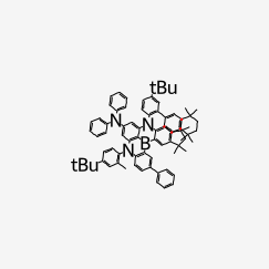 Cc1cc(C(C)(C)C)ccc1N1c2ccc(-c3ccccc3)cc2B2c3cc4c(cc3N(c3ccc(C(C)(C)C)cc3-c3ccc5c(c3)C(C)(C)CCC5(C)C)c3cc(N(c5ccccc5)c5ccccc5)cc1c32)C(C)(C)CC4(C)C